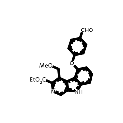 CCOC(=O)c1ncc2[nH]c3cccc(Oc4ccc(C=O)cc4)c3c2c1COC